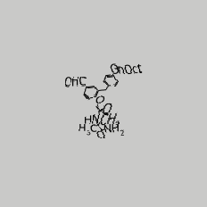 CCCCCCCCOc1ccc(Cc2cc(C=O)ccc2OCC(=O)NC(C)(C)C(N)=O)cc1